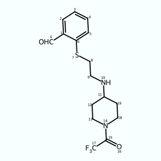 O=Cc1ccccc1SCCNC1CCN(C(=O)C(F)(F)F)CC1